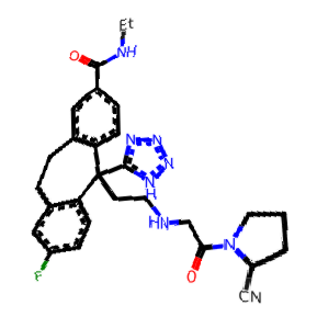 CCNC(=O)c1ccc2c(c1)CCc1cc(F)ccc1C2(CCNCC(=O)N1CCCC1C#N)c1nnn[nH]1